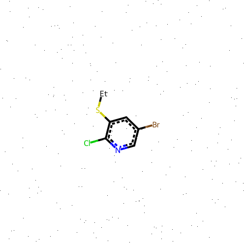 CCSc1cc(Br)cnc1Cl